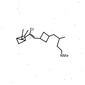 CC/C(=C\C1CC(CC(C)CCNC)C1)C1(C)C2CC1C2C